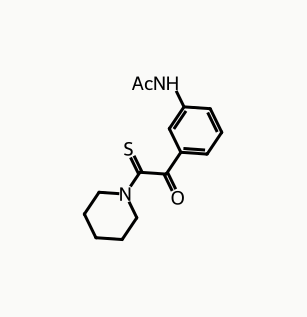 CC(=O)Nc1cccc(C(=O)C(=S)N2CCCCC2)c1